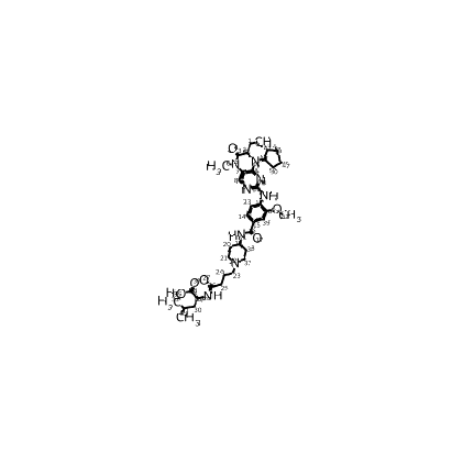 CC[C@@H]1C(=O)N(C)c2cnc(Nc3ccc(C(=O)NC4CCN(CCCC(=O)N[C@@H](CC(C)C)C(=O)O)CC4)cc3OC)nc2N1C1CCCC1